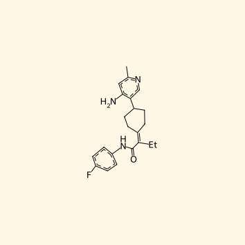 CCC(C(=O)Nc1ccc(F)cc1)=C1CCC(c2cnc(C)cc2N)CC1